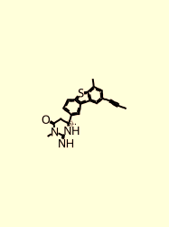 CC#Cc1cc(C)c2sc3ccc([C@]4(C)CC(=O)N(C)C(=N)N4)cc3c2c1